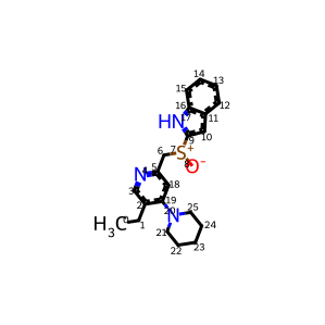 CCc1cnc(C[S+]([O-])c2cc3ccccc3[nH]2)cc1N1CCCCC1